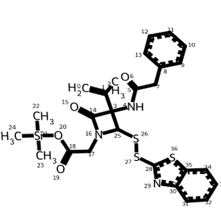 C=C(C)C1(NC(=O)Cc2ccccc2)C(=O)N(CC(=O)O[Si](C)(C)C)C1SSc1nc2ccccc2s1